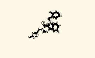 Cc1noc(Cn2cnc3c4cc(F)ccc4n(Cc4ccccc4F)c3c2=O)n1